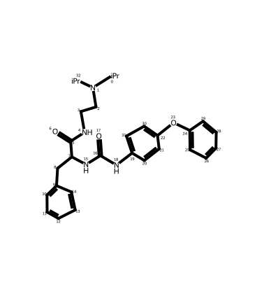 CC(C)N(CCNC(=O)C(Cc1ccccc1)NC(=O)Nc1ccc(Oc2ccccc2)cc1)C(C)C